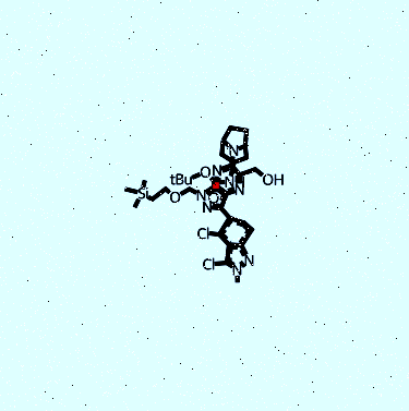 Cn1nc2ccc(-c3nn(COCC[Si](C)(C)C)c4nc(N5C6CCC5CC(NC(=O)OC(C)(C)C)C6)c(CO)nc34)c(Cl)c2c1Cl